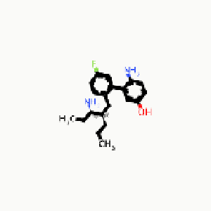 CCC[C@H](Cc1ccc(F)cc1-c1cc(O)ccc1N)[C@@H](N)CC